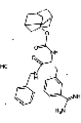 Cl.N=C(N)c1cccc(C[C@@H](NC(=O)OC23CC4CC(CC(C4)C2)C3)C(=O)NCc2ccccc2)c1